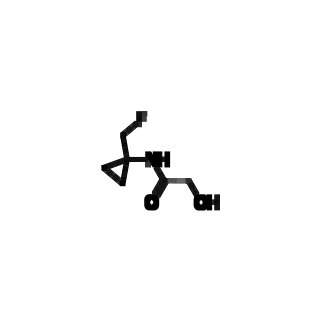 O=C(CO)NC1(CF)CC1